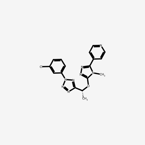 C[C@@H](Oc1nnc(-c2ccncc2)n1C)c1nnn(-c2cccc(Cl)c2)n1